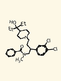 CCC(O)(CC)C1CCN(CCC(CN(C)C(=O)c2ccccc2)c2ccc(Cl)c(Cl)c2)CC1